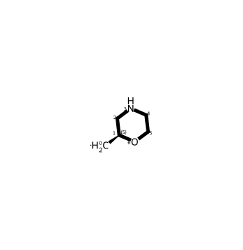 [CH2][C@H]1CNCCO1